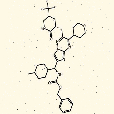 CC1CCC([C@H](NC(=O)OCc2ccccc2)c2cn3nc(C[C@H]4C[C@@H](C(F)(F)F)CNC4=O)c(C4CCOCC4)nc3n2)CC1